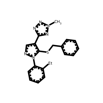 CCc1ccccc1-n1ncc(-c2nnn(C)n2)c1SCc1ccccc1